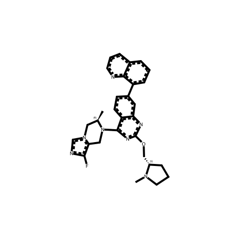 C[C@@H]1Cn2cnc(F)c2CN1c1nc(OC[C@@H]2CCCN2C)nc2cc(-c3cccc4cccnc34)ccc12